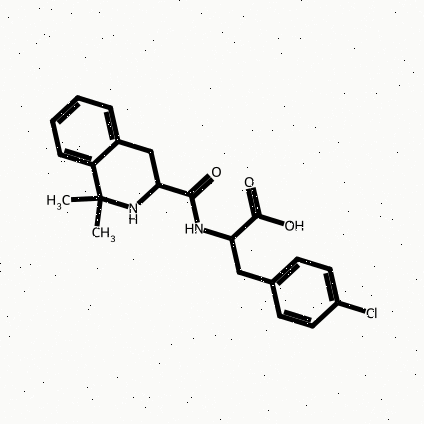 CC1(C)NC(C(=O)NC(Cc2ccc(Cl)cc2)C(=O)O)Cc2ccccc21